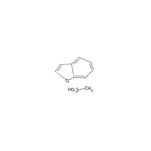 CS(=O)(=O)O.c1ccc2occc2c1